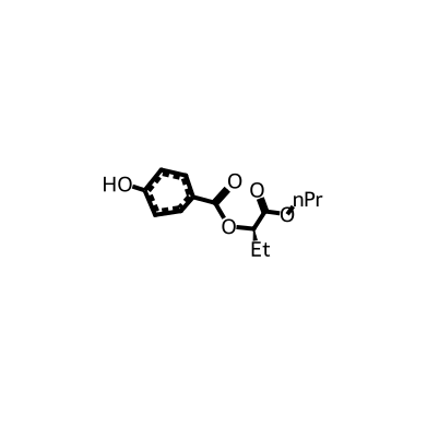 CCCOC(=O)[C@@H](CC)OC(=O)c1ccc(O)cc1